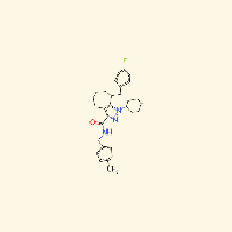 O=C(NCc1ccc(C(F)(F)F)cc1)c1nn(C2CCCCC2)c2c1CCCCC2Cc1ccc(F)cc1